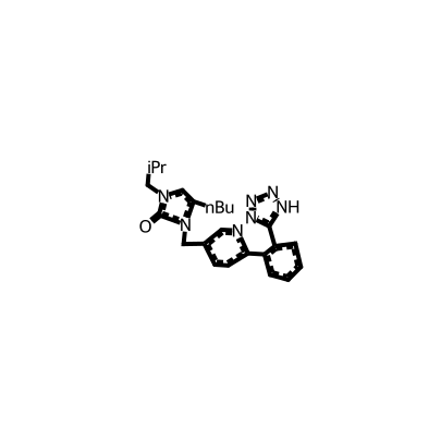 CCCCc1cn(CC(C)C)c(=O)n1Cc1ccc(-c2ccccc2-c2nnn[nH]2)nc1